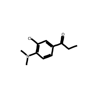 CCC(=O)c1ccc(N(C)C)c(Cl)c1